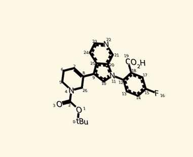 CC(C)(C)OC(=O)N1CCC=C(c2cn(-c3ccc(F)cc3C(=O)O)c3cnccc23)C1